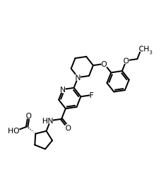 CCOc1ccccc1OC1CCCN(c2ncc(C(=O)NC3CCC[C@@H]3C(=O)O)cc2F)C1